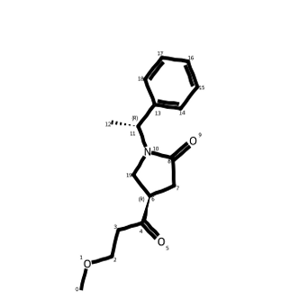 COCCC(=O)[C@@H]1CC(=O)N([C@H](C)c2ccccc2)C1